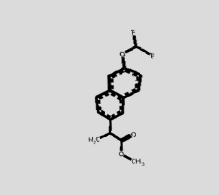 COC(=O)C(C)c1ccc2cc(OC(F)F)ccc2c1